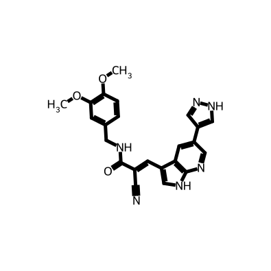 COc1ccc(CNC(=O)/C(C#N)=C/c2c[nH]c3ncc(-c4cn[nH]c4)cc23)cc1OC